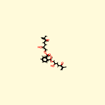 C=C(C)C(=O)CCC(O)COC(=O)c1ccccc1C(=O)OCC(O)CCC(=O)C(=C)C